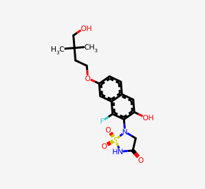 CC(C)(CO)CCOc1ccc2cc(O)c(N3CC(=O)NS3(=O)=O)c(F)c2c1